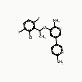 CC(Oc1cc(-c2ccc(N)nc2)cnc1N)c1c(F)ccc(F)c1Cl